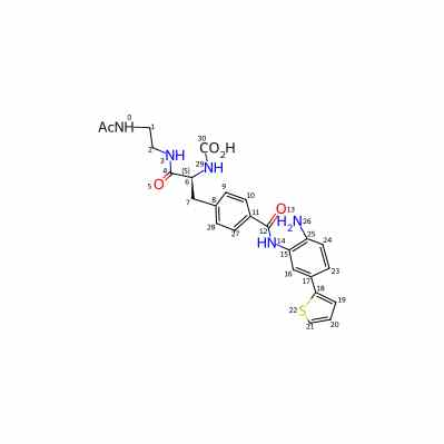 CC(=O)NCCNC(=O)[C@H](Cc1ccc(C(=O)Nc2cc(-c3cccs3)ccc2N)cc1)NC(=O)O